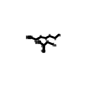 CCCCCCO.O=C(O)CI